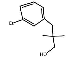 CCc1cccc(CC(C)(C)CO)c1